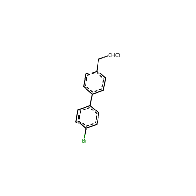 O=CCc1ccc(-c2ccc(Br)cc2)cc1